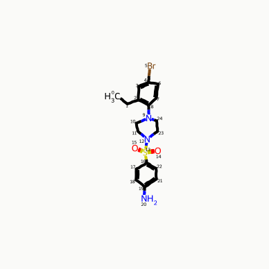 CCc1cc(Br)ccc1N1CCN(S(=O)(=O)c2ccc(N)cc2)CC1